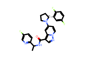 CC(NC(=O)c1cnn2ccc(N3CCC[C@@H]3c3cc(F)ccc3F)cc12)c1ccc(F)cn1